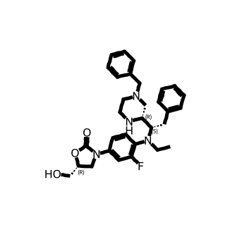 CCN(c1ccc(N2C[C@H](CO)OC2=O)cc1F)[C@@H](Cc1ccccc1)[C@H]1CN(Cc2ccccc2)CCN1